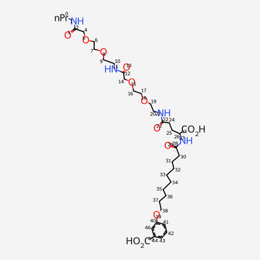 CCCNC(=O)COCCOCCNC(=O)COCCOCCNC(=O)CC[C@H](NC(=O)CCCCCCCCCOc1cccc(C(=O)O)c1)C(=O)O